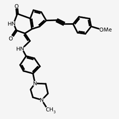 COc1ccc(C#Cc2ccc3c(c2)/C(=C/Nc2ccc(N4CCN(C)CC4)cc2)C(=O)NC3=O)cc1